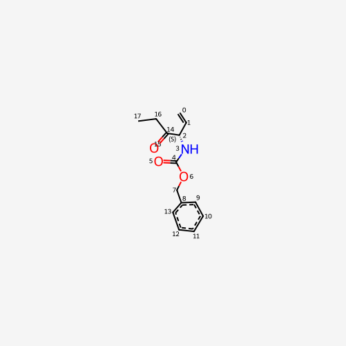 C=C[C@H](NC(=O)OCc1ccccc1)C(=O)CC